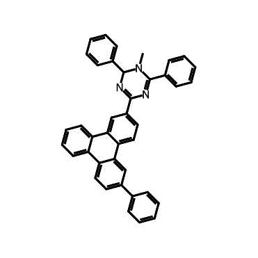 CN1C(c2ccccc2)=NC(c2ccc3c(c2)c2ccccc2c2ccc(-c4ccccc4)cc23)=NC1c1ccccc1